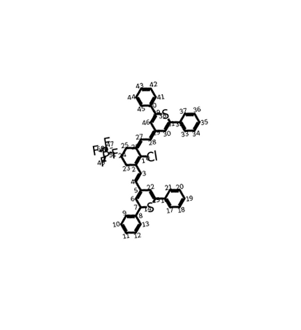 ClC1=C(C=CC2=CC(c3ccccc3)SC(c3ccccc3)=C2)CCCC1=CC=C1C=C(c2ccccc2)SC(c2ccccc2)=C1.F[B-](F)(F)F